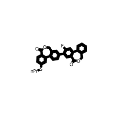 CCCSc1ccc2c(c1)-c1ccc(-c3cc4c(cc3F)-c3ccccc3COC4=O)cc1COC2=O